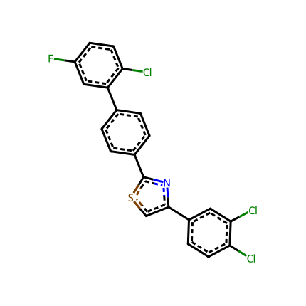 Fc1ccc(Cl)c(-c2ccc(-c3nc(-c4ccc(Cl)c(Cl)c4)cs3)cc2)c1